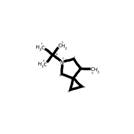 CC1CN(C(C)(C)C)CC12CC2